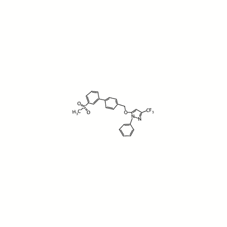 CS(=O)(=O)c1cccc(-c2ccc(COc3cc(C(F)(F)F)nn3-c3ccccc3)cc2)c1